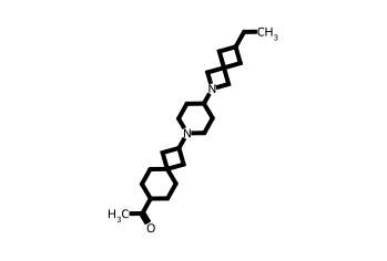 CCC1CC2(C1)CN(C1CCN(C3CC4(CCC(C(C)=O)CC4)C3)CC1)C2